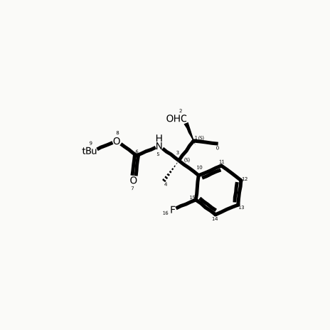 C[C@H](C=O)[C@](C)(NC(=O)OC(C)(C)C)c1ccccc1F